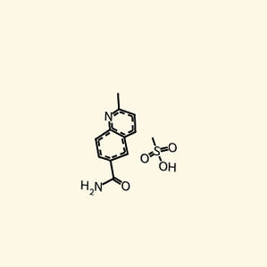 CS(=O)(=O)O.Cc1ccc2cc(C(N)=O)ccc2n1